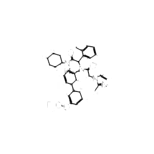 Cc1ccccc1C(C(=O)NC1CCCCC1)N(C(=O)Cn1ccnc1C)C1=CC=CC(C2C=C(OC(F)(F)F)C=CC2)C1